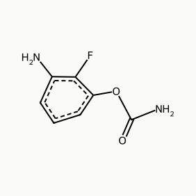 NC(=O)Oc1cccc(N)c1F